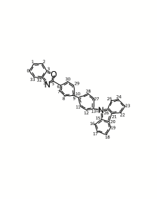 c1ccc2oc(-c3ccc(-c4ccc(-n5c6ccccc6c6ccccc65)cc4)cc3)nc2c1